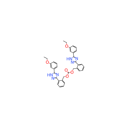 CCOc1cccc(-c2nc(-c3ccccc3COC(=O)OCc3ccccc3-c3n[nH]c(-c4cccc(OCC)c4)n3)n[nH]2)c1